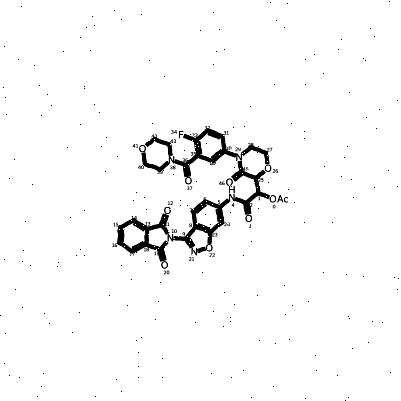 CC(=O)OC(C(=O)Nc1ccc2c(N3C(=O)c4ccccc4C3=O)noc2c1)C1OCCN(c2ccc(F)c(C(=O)N3CCOCC3)c2)C1=O